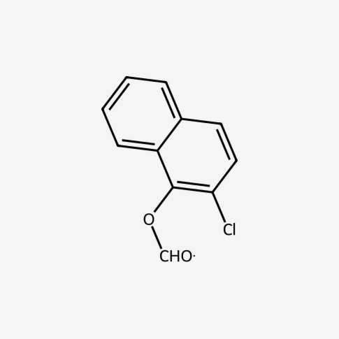 O=[C]Oc1c(Cl)ccc2ccccc12